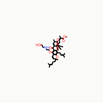 COC(=O)/C(C)=C\CC12OC(C)(C)C(C)C13Oc1c(CC=C(C)C)c4c(c(OCCNCCO)c1C(=O)C3=CC(C)C2=O)C=CC(C)(CCC=C(C)C)O4